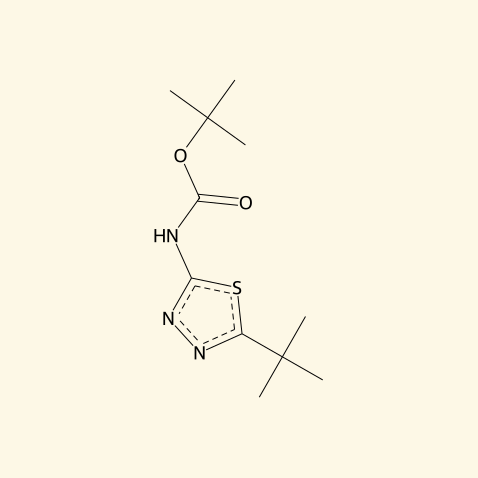 CC(C)(C)OC(=O)Nc1nnc(C(C)(C)C)s1